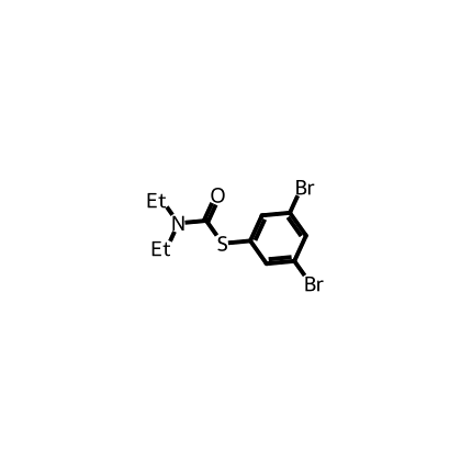 CCN(CC)C(=O)Sc1cc(Br)cc(Br)c1